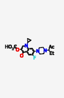 CCC(C(C)=O)N1CCN(c2cc3c(cc2F)c(=O)c(OC(=O)O)cn3C2CC2)CC1